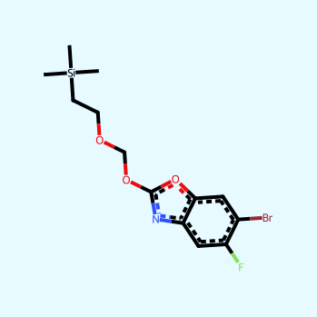 C[Si](C)(C)CCOCOc1nc2cc(F)c(Br)cc2o1